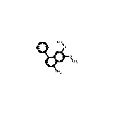 COc1cc2c(N)ccc(-c3ccccc3)c2cc1OC